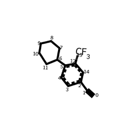 C#Cc1ccc(C2CCCCC2)c(C(F)(F)F)c1